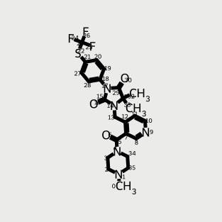 CN1CCN(C(=O)c2cnccc2CN2C(=O)N(c3ccc(SC(F)(F)F)cc3)C(=O)C2(C)C)CC1